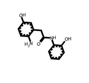 Nc1ccc(O)cc1CC(=O)Nc1ccccc1O